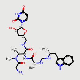 CC[C@@H](C)[C@H](NCN[C@@H](Cc1c[nH]c2ccccc12)C(=O)O)C(=O)N[C@H](C(=O)NC[C@H]1C[C@@H](O)[C@H](n2ccc(=O)[nH]c2=O)O1)[C@H](C)N(C)C(=O)CN